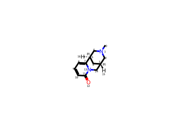 CN1C[C@H]2C[C@H](C1)c1cccc(=O)n1C2